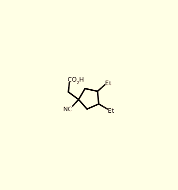 CCC1CC(C#N)(CC(=O)O)CC1CC